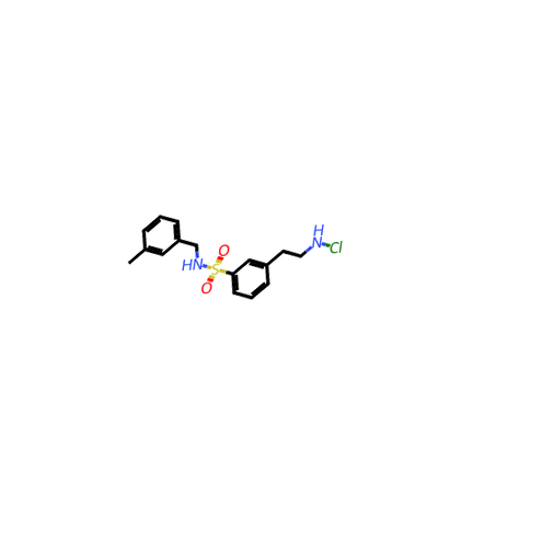 Cc1cccc(CNS(=O)(=O)c2cccc(CCNCl)c2)c1